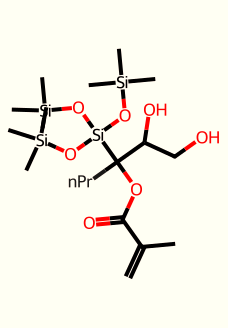 C=C(C)C(=O)OC(CCC)(C(O)CO)[Si](O[Si](C)(C)C)(O[Si](C)(C)C)O[Si](C)(C)C